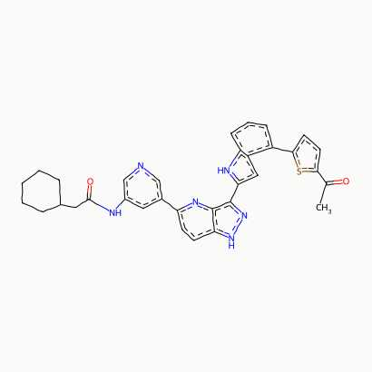 CC(=O)c1ccc(-c2cccc3[nH]c(-c4n[nH]c5ccc(-c6cncc(NC(=O)CC7CCCCC7)c6)nc45)cc23)s1